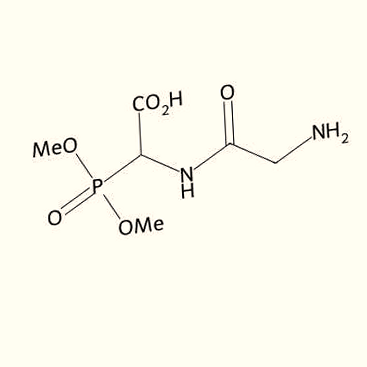 COP(=O)(OC)C(NC(=O)CN)C(=O)O